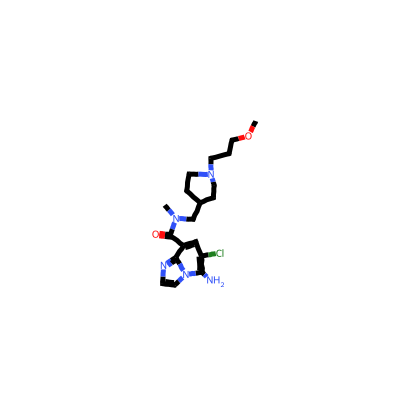 COCCCN1CCC(CN(C)C(=O)c2cc(Cl)c(N)n3ccnc23)CC1